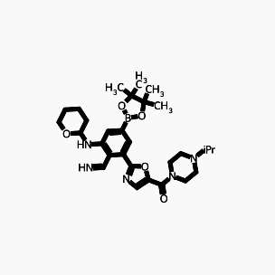 CC(C)N1CCN(C(=O)c2cnc(-c3cc(B4OC(C)(C)C(C)(C)O4)cc(NC4CCCCO4)c3C=N)o2)CC1